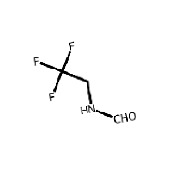 O=CNCC(F)(F)F